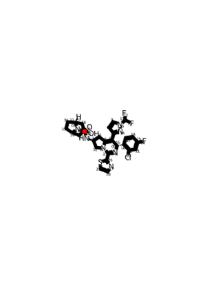 O=C(N[C@H]1CC2=C(c3ccn(C(F)F)n3)[C@H](c3ccc(F)cc3Cl)N=C(c3nccs3)N2C1)N1C2CC[C@H]1C[C@@H](O)C2